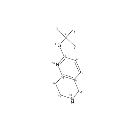 CC(C)(C)Oc1ccc2c(n1)CCNC2